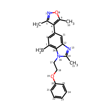 Bc1cc(-c2c(C)noc2C)cc2nc(C)n(CCOc3ccccc3)c12